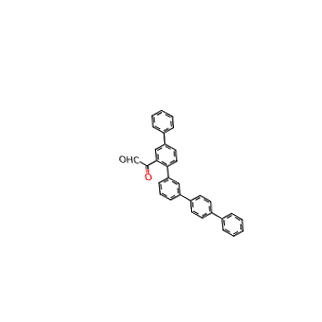 O=CC(=O)c1cc(-c2ccccc2)ccc1-c1cccc(-c2ccc(-c3ccccc3)cc2)c1